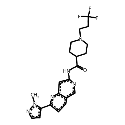 Cn1nccc1-c1ccc2cnc(NC(=O)C3CCN(CCC(F)(F)F)CC3)cc2n1